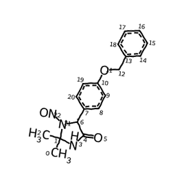 CC1(C)NC(=O)[C](c2ccc(OCc3ccccc3)cc2)N1N=O